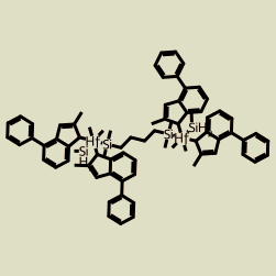 C[SiH2][Hf]([CH3])([CH3])([CH]1C(C)=Cc2c(-c3ccccc3)cccc21)([CH]1C(C)=Cc2c(-c3ccccc3)cccc21)[Si](C)(C)CCCC[Si](C)(C)[Hf]([CH3])([CH3])([SiH2]C)([CH]1C(C)=Cc2c(-c3ccccc3)cccc21)[CH]1C(C)=Cc2c(-c3ccccc3)cccc21